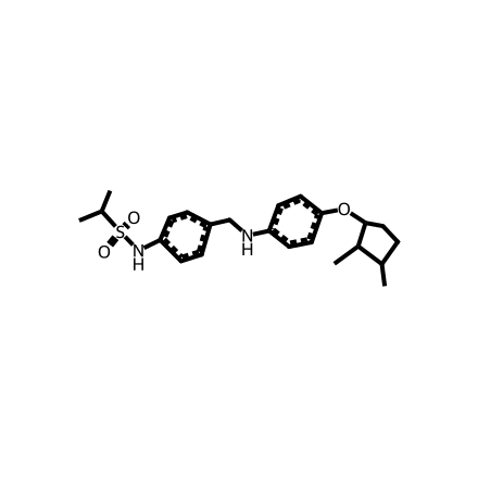 CC1CCC(Oc2ccc(NCc3ccc(NS(=O)(=O)C(C)C)cc3)cc2)C1C